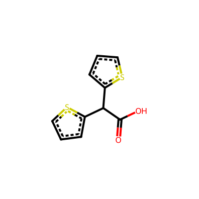 O=C(O)C(c1cccs1)c1cccs1